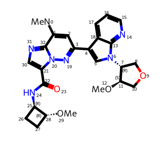 CNc1cc(-c2cn([C@@H]3COC[C@H]3OC)c3ncccc23)nn2c(C(=O)N[C@@H]3CC[C@H]3OC)cnc12